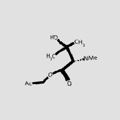 CN[C@H](C(=O)OCC(C)=O)C(C)(C)O